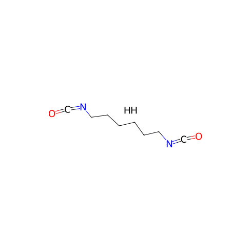 O=C=NCCCCCCN=C=O.[HH]